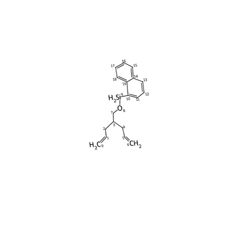 C=CCC(CC=C)CO[SiH2]c1cccc2ccccc12